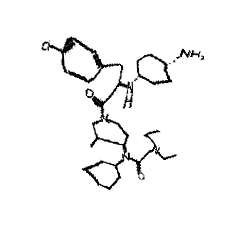 CCN(CC)C(=O)N(C1CCCCC1)C1CCN(C(=O)[C@@H](Cc2ccc(Cl)cc2)N[C@H]2CC[C@@H](N)CC2)CC1C